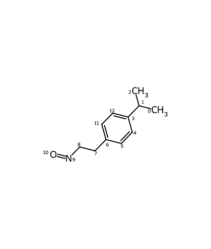 CC(C)c1ccc(CCN=O)cc1